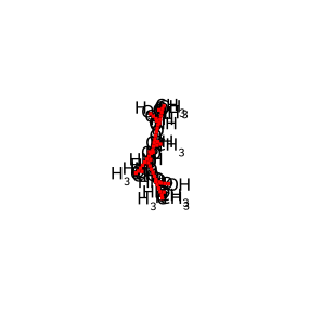 CC(=O)NC(CSC1CC(=O)N(CCC(=O)NC(CCCCNC(=O)OC(C)(C)C)C(=O)NCCOCCOCCC(=O)NC(CCCCNC(=O)OC(C)(C)C)C(=O)NCCOCCO)C1=O)C(=O)NCCOCCOCCC(=O)NC(CCCCNC(=O)OC(C)(C)C)C(=O)NCCOCCO